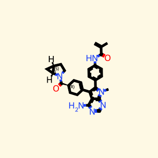 C=C(C)C(=O)Nc1ccc(-c2c(C3=CC[C@H](C(=O)N4CC[C@H]5C[C@H]54)CC3)c3c(N)ncnc3n2C)cc1